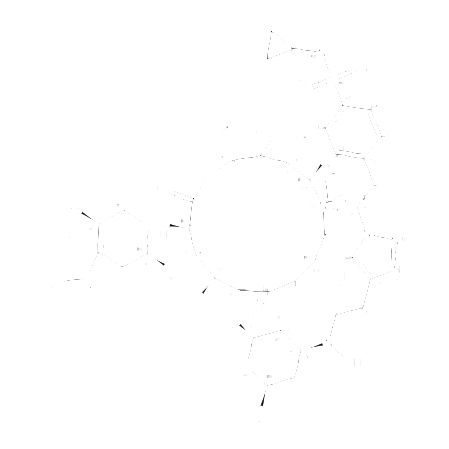 CC[C@H]1OC(=O)[C@H](C)[C@@H](O[C@H]2C[C@@](C)(OC)[C@@H](O)[C@H](C)O2)[C@H](C)[C@@H](O[C@@H]2O[C@H](C)C[C@H](N(C)CCc3cn([C@H](CF)Cc4ccc(S(=O)(=O)NC5CC5)cc4)nn3)[C@H]2O)[C@](C)(O)C[C@@H](C)CN(C)[C@H](C)[C@@H](O)[C@]1(C)O